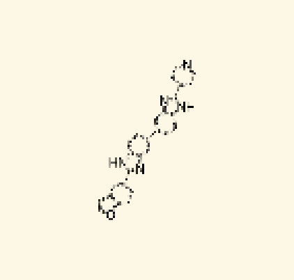 c1cc(-c2nc3cc(-c4ccc5[nH]c(-c6ccc7occc7c6)nc5c4)ccc3[nH]2)ccn1